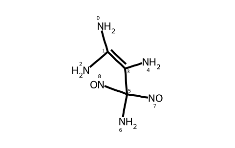 NC(N)=C(N)C(N)(N=O)N=O